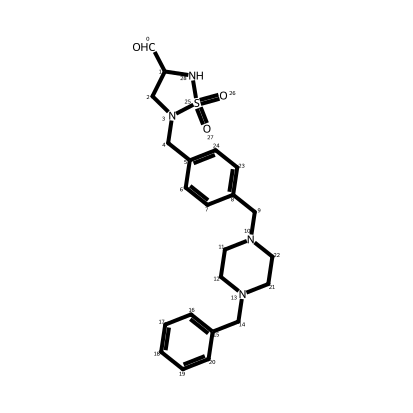 O=CC1CN(Cc2ccc(CN3CCN(Cc4ccccc4)CC3)cc2)S(=O)(=O)N1